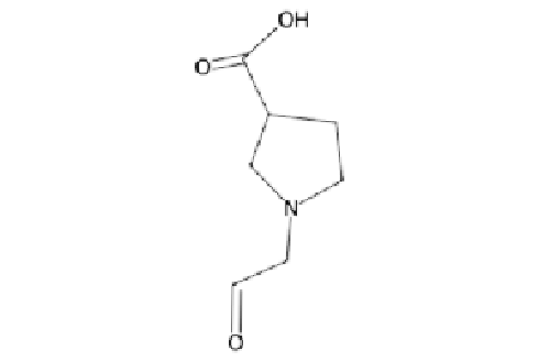 O=CCN1CCC(C(=O)O)C1